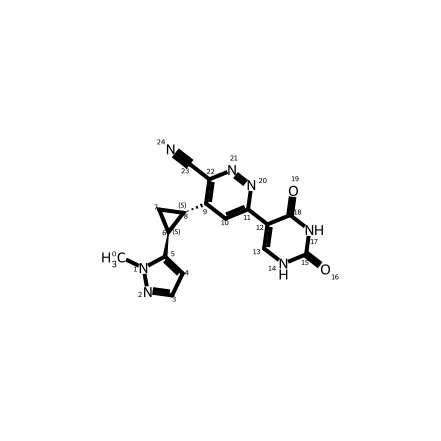 Cn1nccc1[C@H]1C[C@@H]1c1cc(-c2c[nH]c(=O)[nH]c2=O)nnc1C#N